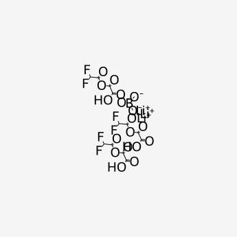 O=C(O)C(=O)OC(=O)C(F)F.O=C(O)C(=O)OC(=O)C(F)F.O=C(O)C(=O)OC(=O)C(F)F.[Li+].[Li+].[Li+].[O-]B([O-])[O-]